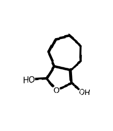 OC1OC(O)C2CCCCCC12